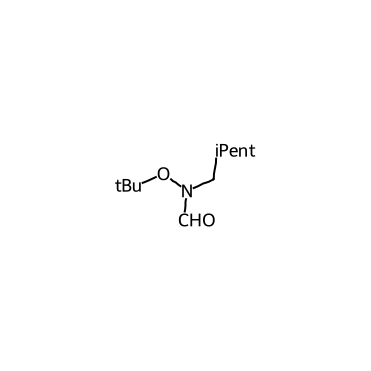 [CH2]CCC(C)CN(C=O)OC(C)(C)C